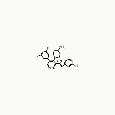 Cc1cc(F)cc(-c2cnnc(-c3cc4cc(Cl)ccc4[nH]3)c2N2CCC(N)CC2)c1